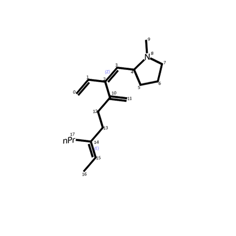 C=C/C(=C/C1CCCN1C)C(=C)CC/C(=C/C)CCC